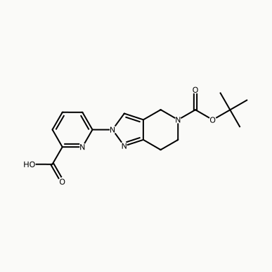 CC(C)(C)OC(=O)N1CCc2nn(-c3cccc(C(=O)O)n3)cc2C1